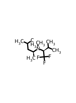 CC(C)C[C@H](C)N(C)[C@@H](C(C)C)C(F)(F)F